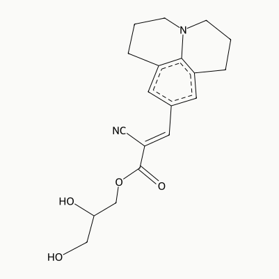 N#C/C(=C\c1cc2c3c(c1)CCCN3CCC2)C(=O)OCC(O)CO